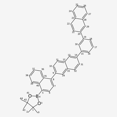 CC1(C)OB(c2ccc(-c3ccc4cc(-c5cccc(-c6ccc7ccccc7c6)c5)ccc4c3)c3ccccc23)OC1(C)C